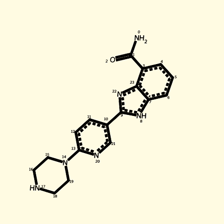 NC(=O)c1cccc2[nH]c(-c3ccc(N4CCNCC4)nc3)nc12